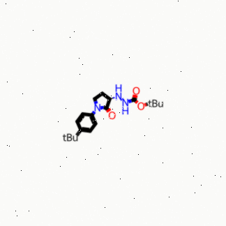 CC(C)(C)OC(=O)NN[C@H]1CCN(c2ccc(C(C)(C)C)cc2)C1=O